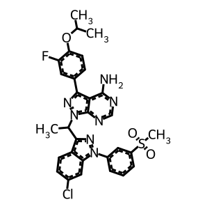 CC(C)Oc1ccc(-c2nn(C(C)c3nn(-c4cccc(S(C)(=O)=O)c4)c4cc(Cl)ccc34)c3ncnc(N)c23)cc1F